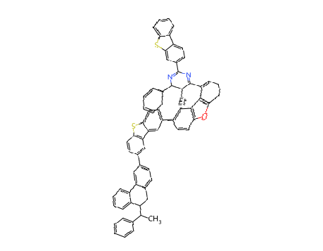 CCC1C(C2=CCCc3oc4ccc(-c5ccc6sc7ccc(-c8ccc9c(c8)-c8ccccc8C(C(C)c8ccccc8)C9)cc7c6c5)cc4c32)=NC(c2ccc3c(c2)sc2ccccc23)=NC1C1C=CC=CC1